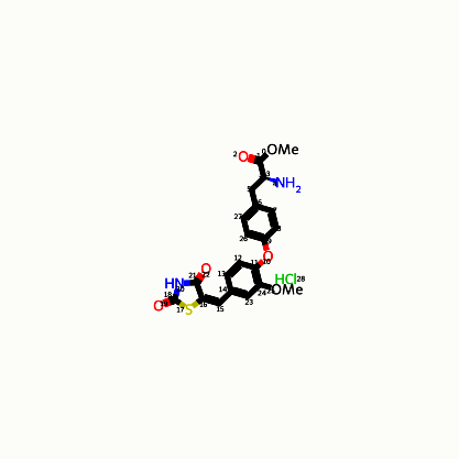 COC(=O)[C@@H](N)Cc1ccc(Oc2ccc(C=C3SC(=O)NC3=O)cc2OC)cc1.Cl